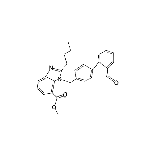 CCCCc1nc2cccc(C(=O)OC)c2n1Cc1ccc(-c2ccccc2C=O)cc1